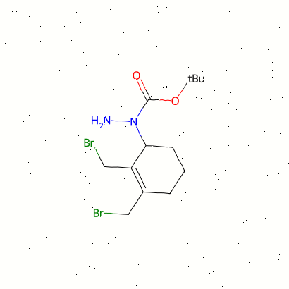 CC(C)(C)OC(=O)N(N)C1CCCC(CBr)=C1CBr